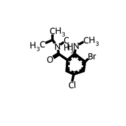 CNc1c(Br)cc(Cl)cc1C(=O)N(C)C(C)C